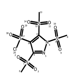 CS(=O)(=O)c1nn(S(C)(=O)=O)c(S(C)(=O)=O)c1S(=O)(=O)Cl